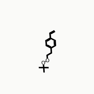 C=Cc1ccc(CCOOC(C)(C)C)cc1